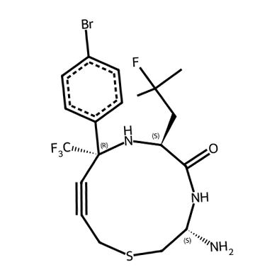 CC(C)(F)C[C@@H]1N[C@@](c2ccc(Br)cc2)(C(F)(F)F)C#CCSC[C@@H](N)NC1=O